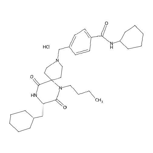 CCCCN1C(=O)[C@H](CC2CCCCC2)NC(=O)C12CCN(Cc1ccc(C(=O)NC3CCCCC3)cc1)CC2.Cl